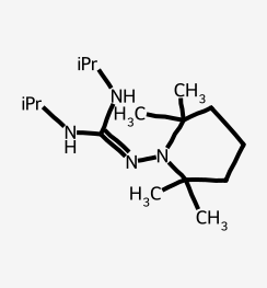 CC(C)NC(=NN1C(C)(C)CCCC1(C)C)NC(C)C